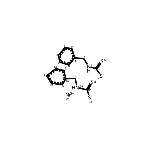 S=C([S-])NCc1ccccc1.S=C([S-])NCc1ccccc1.[Ni+2]